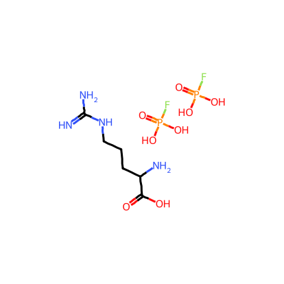 N=C(N)NCCCC(N)C(=O)O.O=P(O)(O)F.O=P(O)(O)F